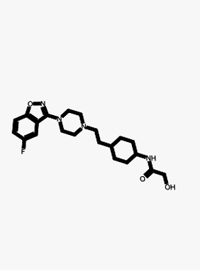 O=C(CO)NC1CCC(CCN2CCN(c3noc4ccc(F)cc34)CC2)CC1